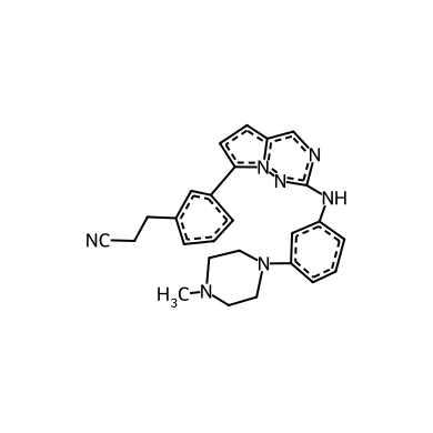 CN1CCN(c2cccc(Nc3ncc4ccc(-c5cccc(CCC#N)c5)n4n3)c2)CC1